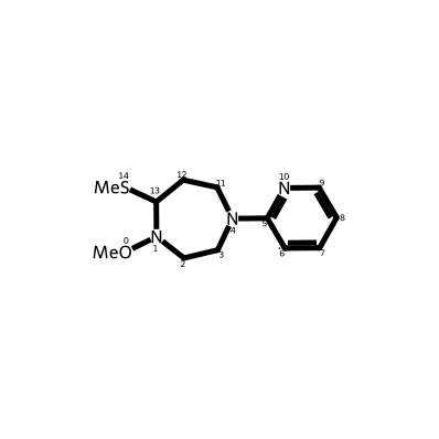 CON1CCN(c2[c]cccn2)CCC1SC